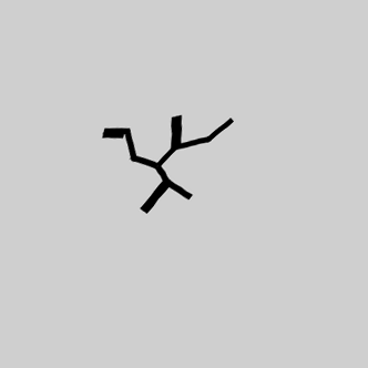 C=C[CH]C(C(=C)C)C(=C)CC